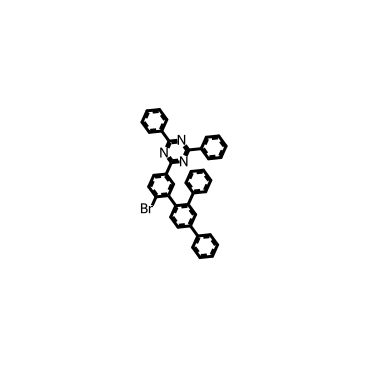 Brc1ccc(-c2nc(-c3ccccc3)nc(-c3ccccc3)n2)cc1-c1ccc(-c2ccccc2)cc1-c1ccccc1